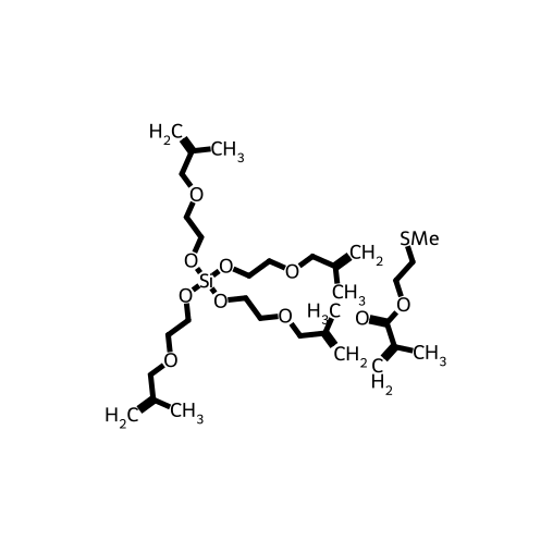 C=C(C)C(=O)OCCSC.C=C(C)COCCO[Si](OCCOCC(=C)C)(OCCOCC(=C)C)OCCOCC(=C)C